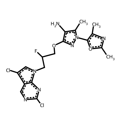 Cc1nc(C)c(-n2nc(OCC(F)Cn3cc(Cl)c4cnc(Cl)nc43)c(N)c2C)o1